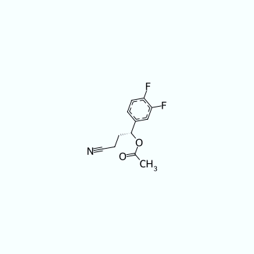 CC(=O)O[C@H](CCC#N)c1ccc(F)c(F)c1